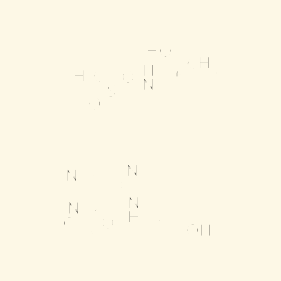 C[C@@H](O)CNc1ccc(-c2cc3ncn(C)c(=O)c3c(NCCCO)n2)cc1S(C)(=O)=O